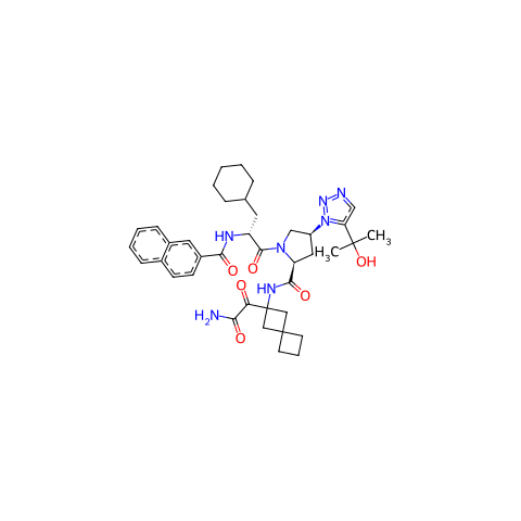 CC(C)(O)c1cnnn1[C@H]1C[C@@H](C(=O)NC2(C(=O)C(N)=O)CC3(CCC3)C2)N(C(=O)[C@@H](CC2CCCCC2)NC(=O)c2ccc3ccccc3c2)C1